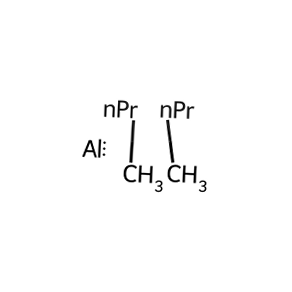 CCCC.CCCC.[Al]